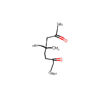 CCCCC(C)(CC(=O)OCC(C)C)CC(=O)OCC(C)C